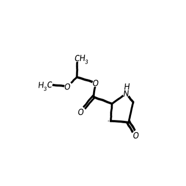 COC(C)OC(=O)C1[CH]C(=O)CN1